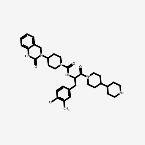 Cc1cc(CC(NC(=O)N2CCC(N3Cc4ccccc4NC3=O)CC2)C(=O)[N+]2CCC(C3CCNCC3)CC2)ccc1Cl